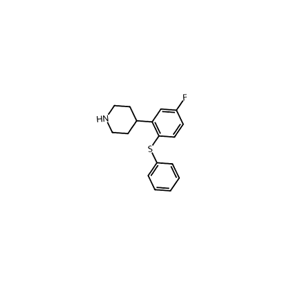 Fc1ccc(Sc2ccccc2)c(C2CCNCC2)c1